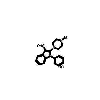 CCN1CCN(c2c(C=O)c3ccccc3n2-c2ccccc2)CC1.Cl